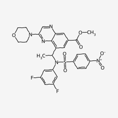 COC(=O)c1cc(C(C)N(c2cc(F)cc(F)c2)S(=O)(=O)c2ccc([N+](=O)[O-])cc2)c2nc(N3CCOCC3)cnc2c1